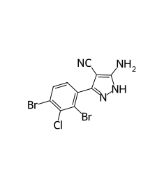 N#Cc1c(-c2ccc(Br)c(Cl)c2Br)n[nH]c1N